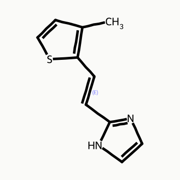 Cc1ccsc1/C=C/c1ncc[nH]1